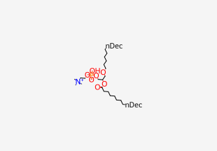 CCCCCCCCCCCCCCCCCC(=O)OC(COCCCCCCCCCCCCCCCC)COP(=O)(O)OCC[N+](C)(C)C